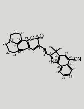 CC1(C)C(C=Cc2cc3cc4c5c(c3oc2=O)CCCN5CCC4)=Nc2c1cc(C#N)c1ccccc21